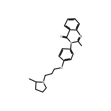 Cc1nc2ccccc2c(=O)n1-c1ccc(OCCCN2CCCC2C)cc1